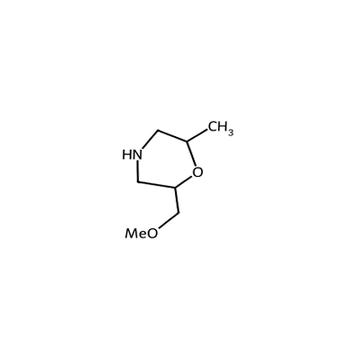 COCC1CNCC(C)O1